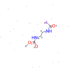 COC(=O)NCCNC(=O)I